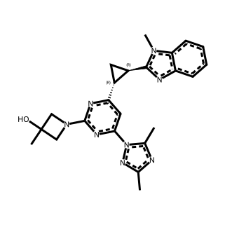 Cc1nc(C)n(-c2cc([C@@H]3C[C@H]3c3nc4ccccc4n3C)nc(N3CC(C)(O)C3)n2)n1